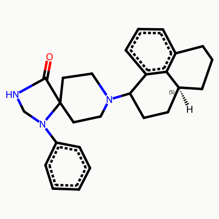 O=C1NCN(c2ccccc2)C12CCN(C1CC[C@@H]3CCCc4cccc1c43)CC2